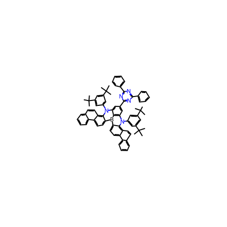 CC(C)(C)c1cc(N2c3cc(-c4nc(-c5ccccc5)nc(-c5ccccc5)n4)cc4c3B(c3ccc5c(ccc6ccccc65)c32)c2ccc3c(ccc5ccccc53)c2N4c2cc(C(C)(C)C)cc(C(C)(C)C)c2)cc(C(C)(C)C)c1